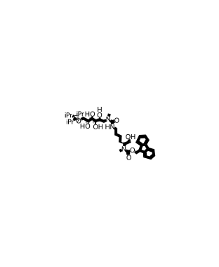 CC(C)[Si](OC[C@@H](O)[C@@H](O)[C@H](O)[C@@H](O)CN(C)C(=O)NCCCC[C@@H](CO)N(C)C(=O)OCC1c2ccccc2-c2ccccc21)(C(C)C)C(C)C